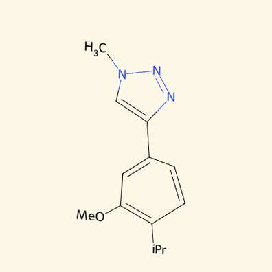 COc1cc(-c2cn(C)nn2)ccc1C(C)C